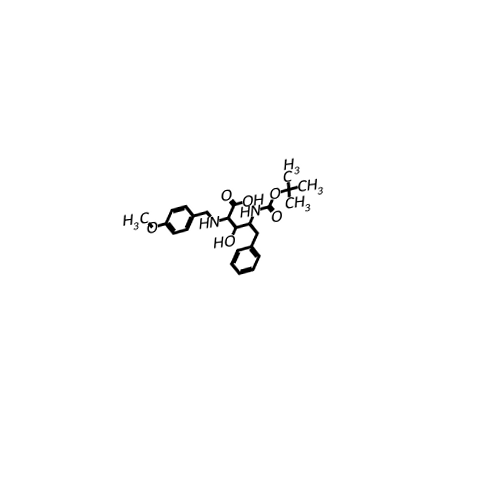 COc1ccc(CNC(C(=O)O)C(O)C(Cc2ccccc2)NC(=O)OC(C)(C)C)cc1